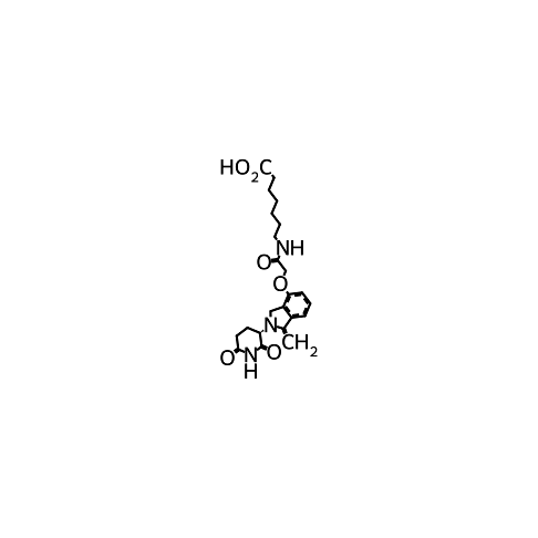 C=C1c2cccc(OCC(=O)NCCCCCCC(=O)O)c2CN1[C@H]1CCC(=O)NC1=O